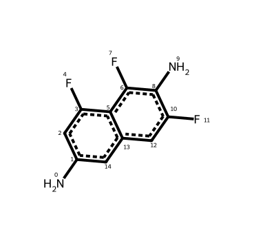 Nc1cc(F)c2c(F)c(N)c(F)cc2c1